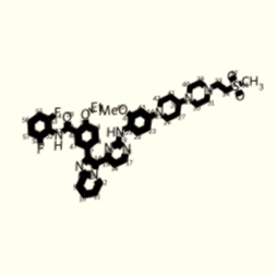 CCOc1ccc(-c2nc3ccccn3c2-c2ccnc(Nc3ccc(N4CCC(N5CCN(CCS(C)(=O)=O)CC5)CC4)cc3OC)n2)cc1C(=O)Nc1c(F)cccc1F